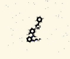 C/N=C/C=c1/cccc/c1=C(/C)c1cc(-n2cc(-c3ccccc3)nn2)ccc1C